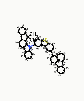 CC1(C)c2ccccc2-c2ccc3c4ccccc4n(-c4ccc5sc6ccc(-c7ccc8c9c(cccc79)-c7ccccc7-8)cc6c5c4)c3c21